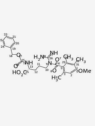 COc1cc(C)c(S(=O)(=O)N(CCC[C@@H](NC(=O)OCc2ccccc2)C(=O)O)C(=N)N)c(C)c1C